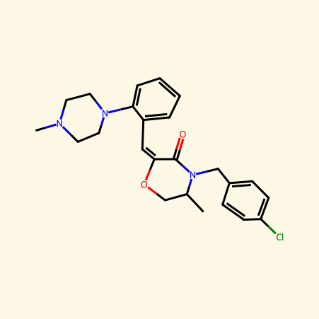 CC1COC(=Cc2ccccc2N2CCN(C)CC2)C(=O)N1Cc1ccc(Cl)cc1